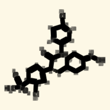 CS(=O)(=O)c1ccc([C@@H](CC2CCC(=NO)CC2)C(=O)Nc2cnc(Cl)cn2)cc1Cl